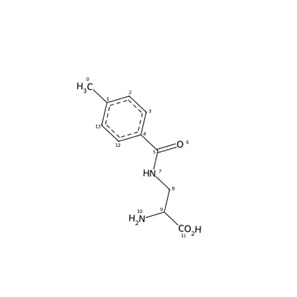 Cc1ccc(C(=O)NCC(N)C(=O)O)cc1